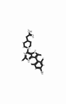 Cc1nc(N2CCC(CC(=O)O)CC2)c2sc(C)c(-c3c(C)cc(Br)cc3C)c2n1